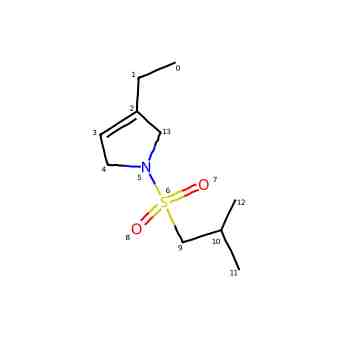 CCC1=CCN(S(=O)(=O)CC(C)C)C1